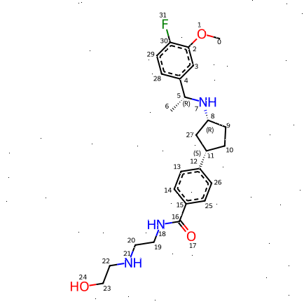 COc1cc([C@@H](C)N[C@@H]2CC[C@H](c3ccc(C(=O)NCCNCCO)cc3)C2)ccc1F